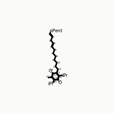 CCCCC/C=C/C/C=C/CCCCCCCC1=C(C(C)C)C(=O)C(C(C)C)=C(C)C1=O